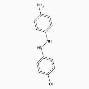 Nc1ccc(NNc2ccc(O)cc2)cc1